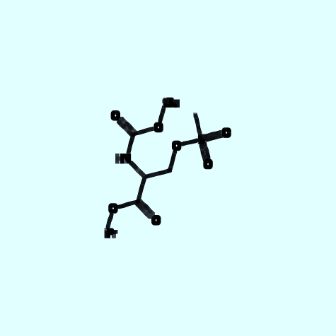 CC(C)OC(=O)C(COS(C)(=O)=O)NC(=O)OC(C)(C)C